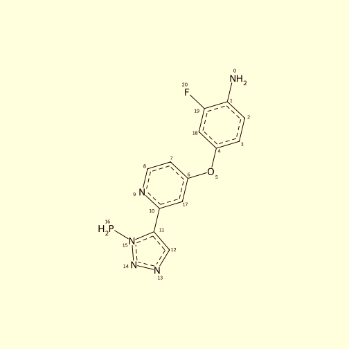 Nc1ccc(Oc2ccnc(-c3cnnn3P)c2)cc1F